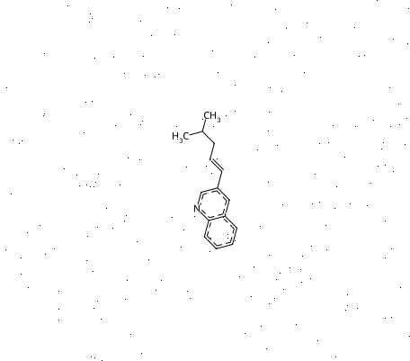 CC(C)C/C=C/c1cnc2ccccc2c1